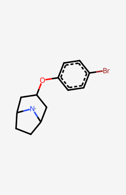 Brc1ccc(OC2CC3CCC(C2)[N]3)cc1